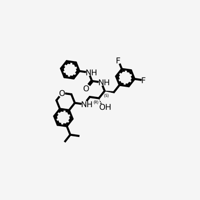 CC(C)c1ccc2c(c1)C(NC[C@@H](O)[C@H](Cc1cc(F)cc(F)c1)NC(=O)Nc1ccccc1)COC2